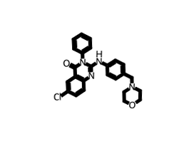 O=c1c2cc(Cl)ccc2nc(Nc2ccc(CN3CCOCC3)cc2)n1-c1ccccc1